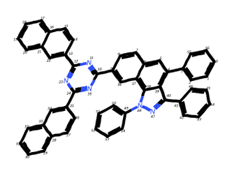 c1ccc(-c2cc3ccc(-c4nc(-c5ccc6ccccc6c5)nc(-c5ccc6ccccc6c5)n4)cc3c3c2c(-c2ccccc2)nn3-c2ccccc2)cc1